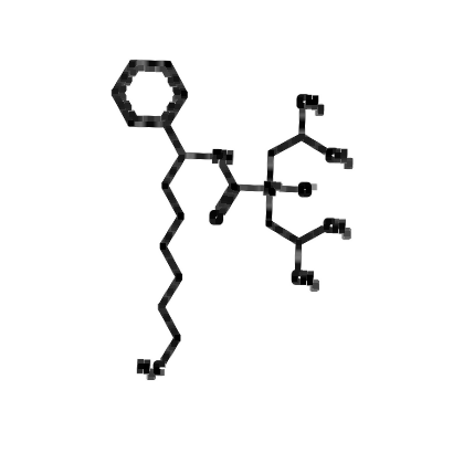 CCCCCCCC(PC(=O)[N+]([O-])(CC(C)C)CC(C)C)c1ccccc1